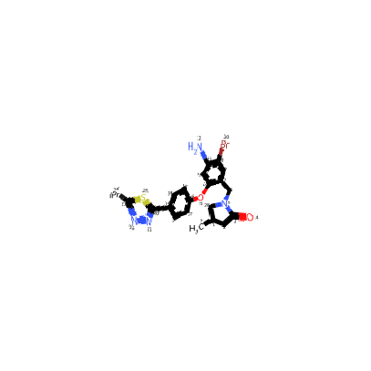 CC1CC(=O)N(Cc2cc(Br)c(N)cc2Oc2ccc(-c3nnc(C(C)C)s3)cc2)C1